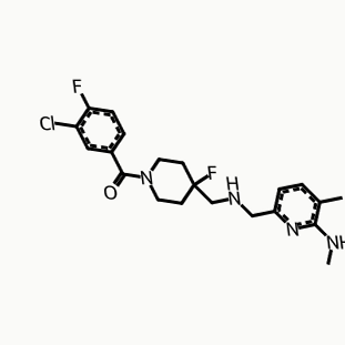 CNc1nc(CNCC2(F)CCN(C(=O)c3ccc(F)c(Cl)c3)CC2)ccc1C